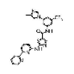 Cc1cn(-c2cc(NC(=O)c3cnc(Nc4cccc(-c5ccccn5)n4)s3)cc(C(F)(F)F)c2)cn1